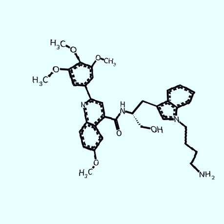 COc1ccc2nc(-c3cc(OC)c(OC)c(OC)c3)cc(C(=O)N[C@@H](CO)Cc3cn(CCCCN)c4ccccc34)c2c1